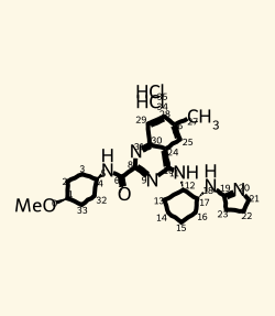 CO[C@H]1CC[C@@H](NC(=O)c2nc(N[C@H]3CCCC[C@H]3NC3=NCCC3)c3cc(C)ccc3n2)CC1.Cl.Cl